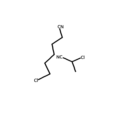 CC(Cl)C#N.N#CCCCCCCl